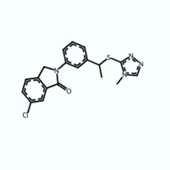 CC(Sc1nncn1C)c1cccc(N2Cc3ccc(Cl)cc3C2=O)c1